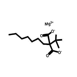 CCCCCCCC(C(=O)[O-])(C(=O)[O-])C(C)(C)C.[Mg+2]